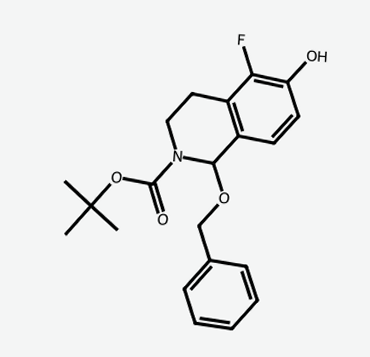 CC(C)(C)OC(=O)N1CCc2c(ccc(O)c2F)C1OCc1ccccc1